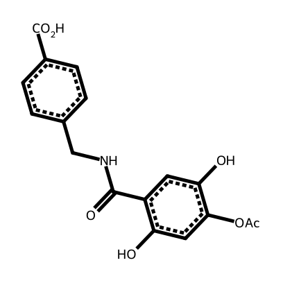 CC(=O)Oc1cc(O)c(C(=O)NCc2ccc(C(=O)O)cc2)cc1O